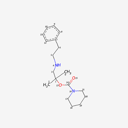 CC(C)(CNCCc1ccccc1)OC(=O)N1CCCCC1